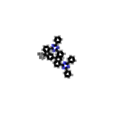 CC1(C)c2ccc(-c3cccc4c(-c5nc(-c6ccccc6)nc(-c6ccccc6)n5)cccc34)cc2-c2c(-c3nc(-c4ccccc4)nc(-c4ccccc4)n3)cccc21